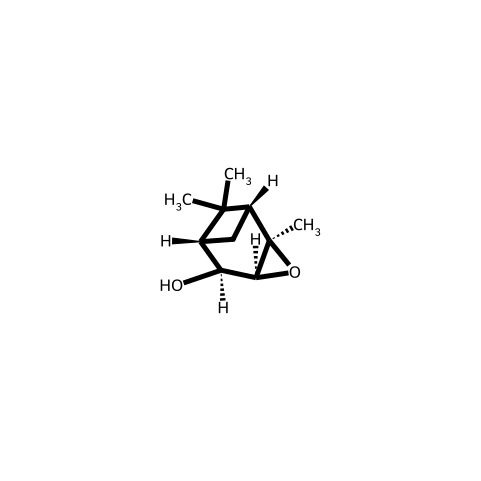 CC1(C)[C@@H]2C[C@H]1[C@@]1(C)O[C@H]1[C@H]2O